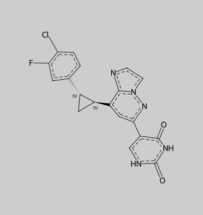 O=c1[nH]cc(-c2cc([C@H]3C[C@@H]3c3ccc(Cl)c(F)c3)c3nccn3n2)c(=O)[nH]1